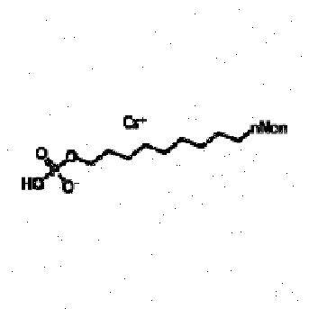 CCCCCCCCCCCCCCCCCCOP(=O)([O-])O.[Cs+]